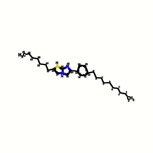 CCCCCCCCCCc1ccc(-c2cn3cc(CCCCCCC)sc3n2)cc1